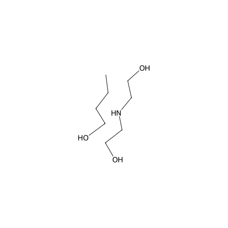 CCCCO.OCCNCCO